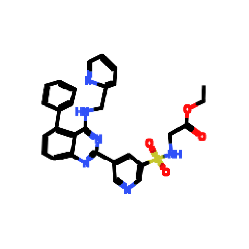 CCOC(=O)CNS(=O)(=O)c1cncc(-c2nc(NCc3ccccn3)c3c(-c4ccccc4)cccc3n2)c1